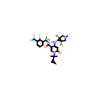 C[C@@H](NC(=O)c1cn(C(C)(C)C2CC2)c(=O)cc1N[C@@H]1[C@@H]2CN(C)C[C@@H]21)c1cccc(C(F)F)c1F